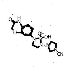 N#CN1CC[C@@H](N2CCN(c3ccc4c(c3)OCC(=O)N4)S2(O)O)C1